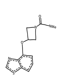 CNC(=O)N1CC(Oc2cccc3scnc23)C1